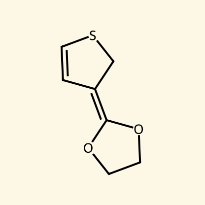 C1=CC(=C2OCCO2)CS1